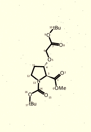 COC(=O)[C@@H]1[C@@H](OCC(=O)OC(C)(C)C)CCN1C(=O)OC(C)(C)C